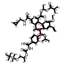 C=Cc1cc(C(=O)Nc2ccc(C(=N)NC(=O)OC(C)CO[Si](C)(C)C(C)(C)C)cc2)c(-c2c(C(C)OC(=O)OC(C)C)cc(C(=O)NCC3CC3)nc2C(=O)OC(C)OC(=O)C(C)C)cc1OC